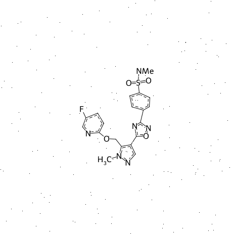 CNS(=O)(=O)c1ccc(-c2noc(-c3cnn(C)c3COc3ccc(F)cn3)n2)cc1